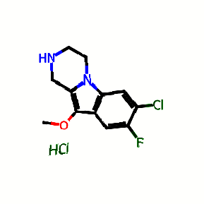 COc1c2n(c3cc(Cl)c(F)cc13)CCNC2.Cl